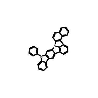 c1ccc(-n2c3ccccc3c3cc4c5cccc6c7c8ccccc8ccc7n(c4cc32)c56)cc1